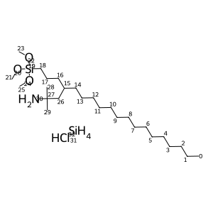 CCCCCCCCCCCCCCCC(CCC[Si](OC)(OC)OC)CC(C)(C)N.Cl.[SiH4]